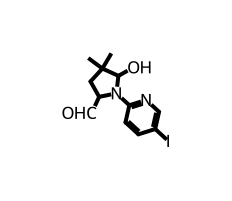 CC1(C)CC(C=O)N(c2ccc(I)cn2)C1O